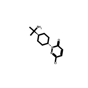 BC(C)(C)[C@H]1CC[C@H](n2nc(Cl)ccc2=O)CC1